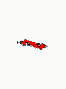 CCc1c2c(c(Cl)c3c1=Nc1ccc(NCCNc4nc(Cl)nc(Nc5ccc(S(=O)(=O)O)cc5S(=O)(=O)O)n4)c(S(=O)(=O)O)c1O3)=Nc1ccc(NCCNc3nc(Cl)nc(Nc4ccc(S(=O)(=O)O)cc4S(=O)(=O)O)n3)c(S(=O)(=O)O)c1O2